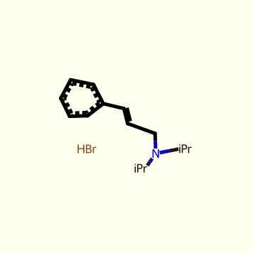 Br.CC(C)N(CC=Cc1ccccc1)C(C)C